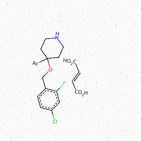 CC(=O)C1(OCc2ccc(Cl)cc2F)CCNCC1.O=C(O)C=CC(=O)O